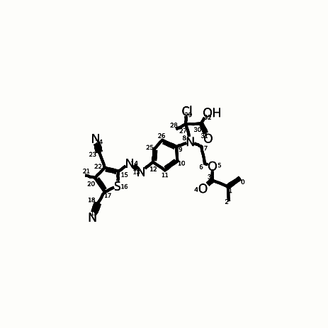 C=C(C)C(=O)OCCN(c1ccc(N=Nc2sc(C#N)c(C)c2C#N)cc1)C(C)(Cl)C(=O)O